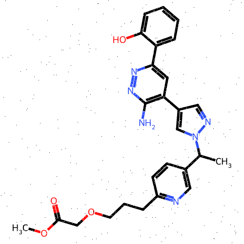 COC(=O)COCCCc1ccc(C(C)n2cc(-c3cc(-c4ccccc4O)nnc3N)cn2)cn1